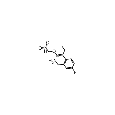 CCC(=NOC[SH](=O)=O)c1ccc(F)cc1CN